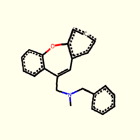 CN(CC1=Cc2ccccc2Oc2ccccc21)Cc1ccccc1